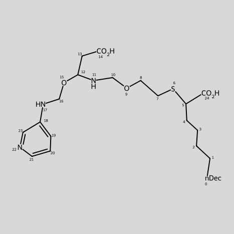 CCCCCCCCCCCCCCC(SCCOCNC(CC(=O)O)OCNc1cccnc1)C(=O)O